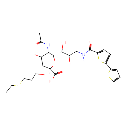 CCSCCCO[C@]1(C(=O)O)CC(O)[C@@H](NC(C)=O)[C@H](C(O)[C@H](O)CN(N)C(=O)c2ccc(-c3cccs3)s2)O1